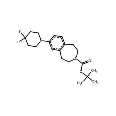 CC(C)(C)OC(=O)N1CCc2ccc(N3CCC(F)(F)CC3)nc2CC1